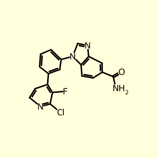 NC(=O)c1ccc2c(c1)ncn2-c1cccc(-c2ccnc(Cl)c2F)c1